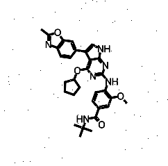 COc1cc(C(=O)NC(C)(C)C)ccc1Nc1nc(OC2CCCC2)c2c(-c3ccc4nc(C)oc4c3)c[nH]c2n1